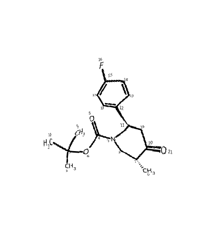 C[C@@H]1CN(C(=O)OC(C)(C)C)[C@@H](c2ccc(F)cc2)CC1=O